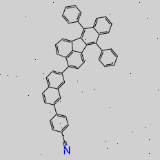 N#Cc1ccc(-c2ccc3ccc(-c4ccc5c6c(cccc46)-c4c-5c(-c5ccccc5)c5ccccc5c4-c4ccccc4)cc3c2)cc1